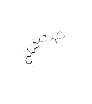 Cc1[nH]c(/C=C2\C(=O)Nc3ccc(F)cc32)c(C)c1C(=O)N[C@@H](CCC(=O)N1CCOCC1)C(=O)O